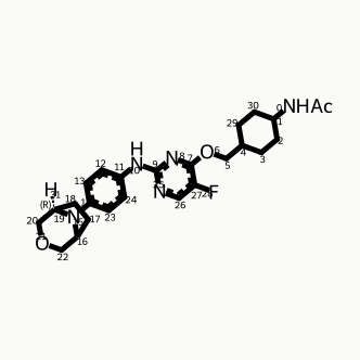 CC(=O)NC1CCC(COc2nc(Nc3ccc(N4C5CC[C@@H]4COC5)cc3)ncc2F)CC1